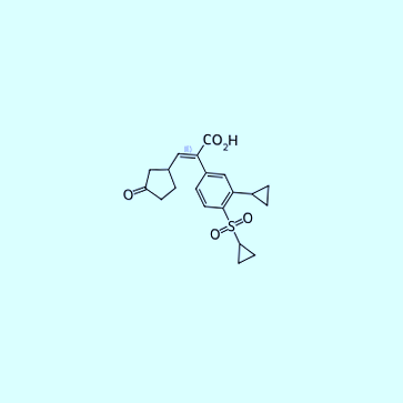 O=C1CCC(/C=C(/C(=O)O)c2ccc(S(=O)(=O)C3CC3)c(C3CC3)c2)C1